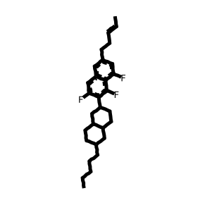 C/C=C/CCc1cc(F)c2c(F)c(C3CCC4CC(CCCCC)CCC4C3)c(F)cc2c1